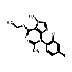 CCOC(=O)c1c(N(C(N)=O)c2ccc(I)cc2Cl)ncn1C